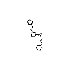 c1ccc(COc2cncc([C@H]3C[C@@H]3COCc3ccccn3)c2)cc1